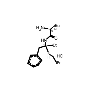 CC[C@H](C)[C@H](N)C(=O)N[C@@](CC)(Cc1ccccc1)NCC(C)C.Cl